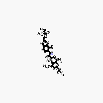 COc1cc(C)c(NC(=O)/C(F)=C/c2ccc3cn(COP(=O)(O)O)nc3c2F)c(C)n1